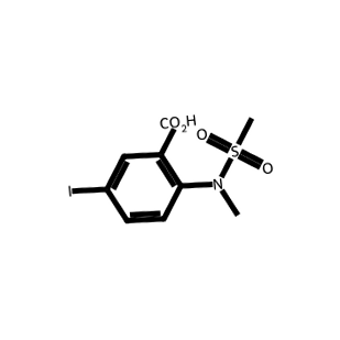 CN(c1ccc(I)cc1C(=O)O)S(C)(=O)=O